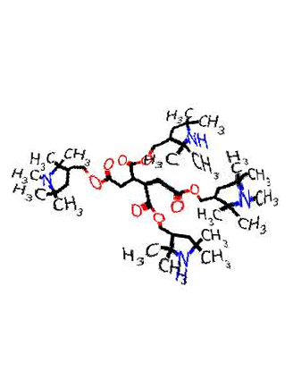 CN1C(C)(C)CC(COC(=O)CC(C(=O)OCC2CC(C)(C)NC2(C)C)C(CC(=O)OCC2CC(C)(C)N(C)C2(C)C)C(=O)OCC2CC(C)(C)NC2(C)C)C1(C)C